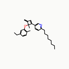 C=C1C=C(c2ccc(CCCCCCCC)nc2)C1(C)Oc1cc(CC)ccc1C